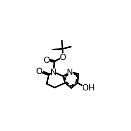 CC(C)(C)OC(=O)N1C(=O)CCc2cc(O)cnc21